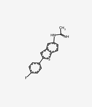 CC(=N)Nc1ccc2sc(-c3ccc(F)cc3)cc2c1